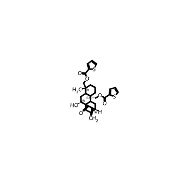 C=C1C(=O)C23CC[C@H]1CC2[C@]1(COC(=O)c2cccs2)CCC[C@@](C)(COC(=O)c2cccs2)C1C[C@H]3O